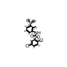 Cc1c(NS(=O)(=O)c2cc(Cl)ccc2Cl)cccc1[N+](=O)[O-]